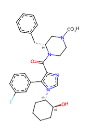 O=C(O)N1CCN(C(=O)c2ncn([C@H]3CCCC[C@@H]3O)c2-c2cccc(F)c2)[C@H](Cc2ccccc2)C1